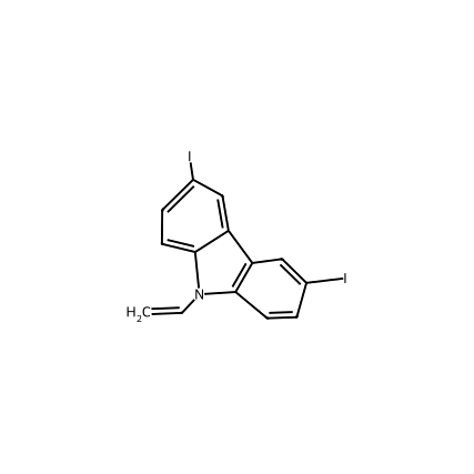 C=Cn1c2ccc(I)cc2c2cc(I)ccc21